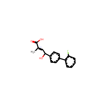 C/C(=C\C(O)c1ccc(-c2ccccc2F)cc1)C(=O)O